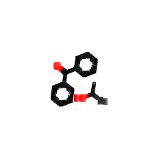 CC(=O)C(C)O.O=C(c1ccccc1)c1ccccc1